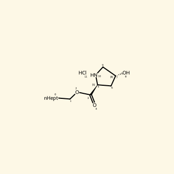 CCCCCCCCOC(=O)[C@@H]1C[C@@H](O)CN1.Cl